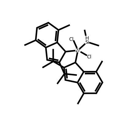 Cc1ccc(C)c2c1C=C(C(C)C)[CH]2[Zr]([Cl])([Cl])([CH]1C(C(C)C)=Cc2c(C)ccc(C)c21)[SiH](C)C